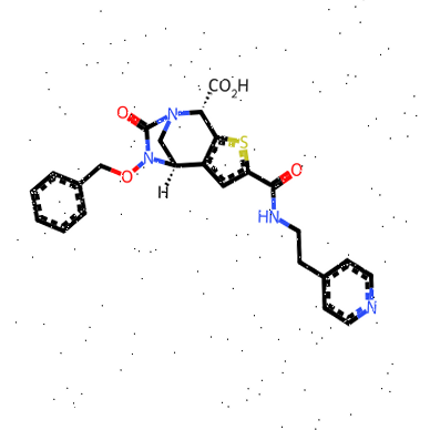 O=C(NCCc1ccncc1)c1cc2c(s1)[C@@H](C(=O)O)N1C[C@@H]2N(OCc2ccccc2)C1=O